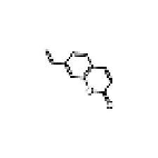 C=Cc1ccc2ccc(=O)oc2c1